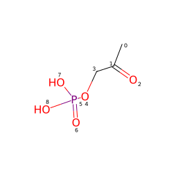 CC(=O)COP(=O)(O)O